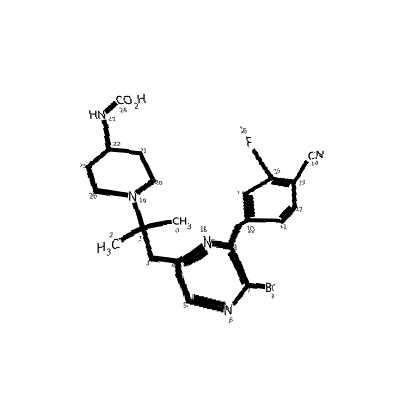 CC(C)(Cc1cnc(Br)c(-c2ccc(C#N)c(F)c2)n1)N1CCC(NC(=O)O)CC1